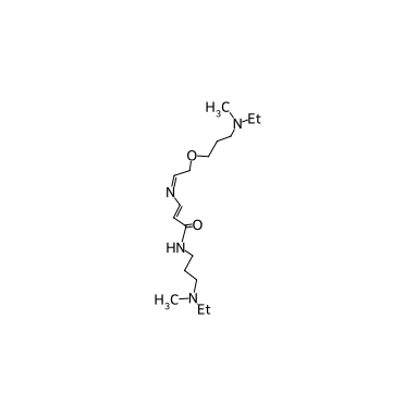 CCN(C)CCCNC(=O)/C=C/N=C\COCCCN(C)CC